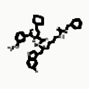 COc1cccc(C(=O)NC(CCC2CCCCC2)C(=O)N[C@@H](CCCCNC(=O)OCc2ccccc2)CC2CNc3ccc(F)cc32)c1